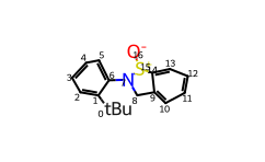 CC(C)(C)c1ccccc1N1Cc2ccccc2[S+]1[O-]